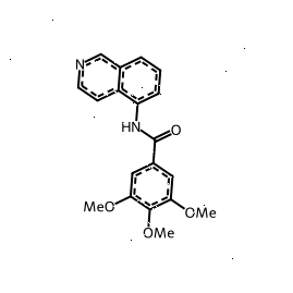 COc1cc(C(=O)Nc2cccc3cnccc23)cc(OC)c1OC